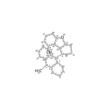 Cc1c2ccccc2c(-c2cccc3oc4cccc(C)c4c23)c2ccccc12